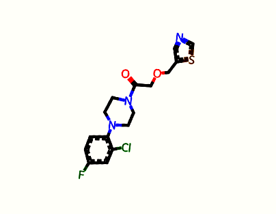 O=C(COCc1cncs1)N1CCN(c2ccc(F)cc2Cl)CC1